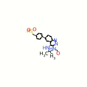 CC(C)Nc1c(NC=O)nnc2ccc(-c3ccc(C[SH](=O)=O)cc3)cc12